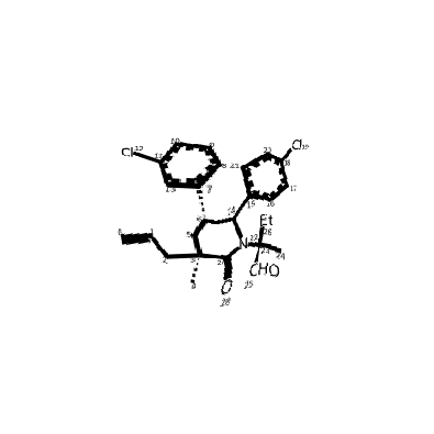 C=CC[C@@]1(C)C[C@H](c2cccc(Cl)c2)C(c2ccc(Cl)cc2)N([C@](C)(C=O)CC)C1=O